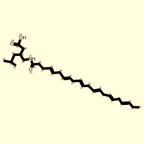 CCC=CCC=CCC=CCC=CCC=CCC=CCCC(=O)NCC(CC(=O)O)CC(C)C